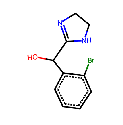 OC(C1=NCCN1)c1ccccc1Br